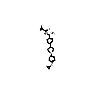 C[C@H](NC(=O)C1CC1)c1ccc(C2CCN(c3ccc(OC4CC4)cc3)CC2)cc1